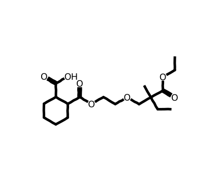 CCOC(=O)C(C)(CC)COCCOC(=O)C1CCCCC1C(=O)O